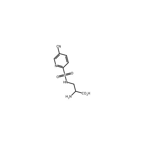 N#Cc1ccc(S(=O)(=O)NCC(N)C(=O)O)nc1